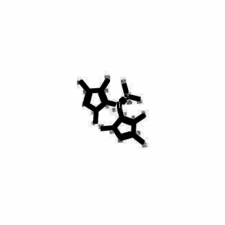 CC1=CC(C)[C]([Ti]([C]2=C(C)C(C)=CC2C)=[Si](C)C)=C1C